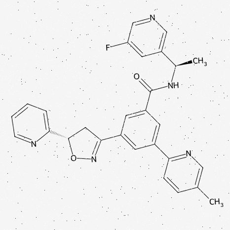 Cc1ccc(-c2cc(C(=O)N[C@H](C)c3cncc(F)c3)cc(C3=NO[C@H](c4ccccn4)C3)c2)nc1